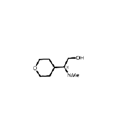 CN[C@H](CO)C1CCOCC1